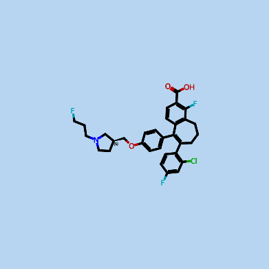 O=C(O)c1ccc2c(c1F)CCCC(c1ccc(F)cc1Cl)=C2c1ccc(OC[C@H]2CCN(CCCF)C2)cc1